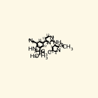 COc1ncc(C)cc1Nc1nccc(-c2cc(C#N)c3c(c2)[C@@](C)(CO)CN3)n1